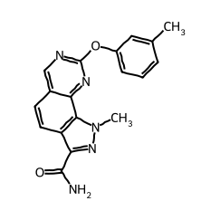 Cc1cccc(Oc2ncc3ccc4c(C(N)=O)nn(C)c4c3n2)c1